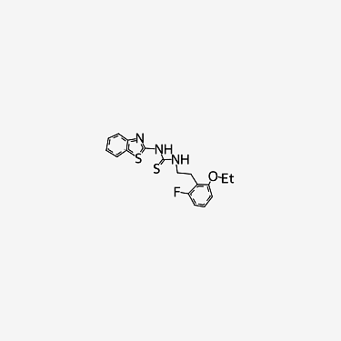 CCOc1cccc(F)c1CCNC(=S)Nc1nc2ccccc2s1